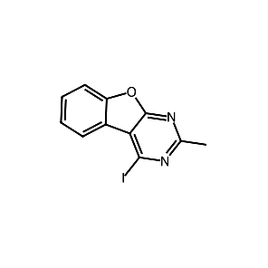 Cc1nc(I)c2c(n1)oc1ccccc12